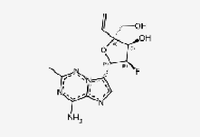 C=C[C@]1(CO)O[C@@H](c2cnc3c(N)nc(C)nn23)[C@H](F)[C@@H]1O